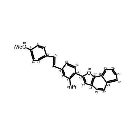 CCCc1cc(C=Cc2ccc(OC)cc2)ccc1-c1cc2ccc3ccccc3c2o1